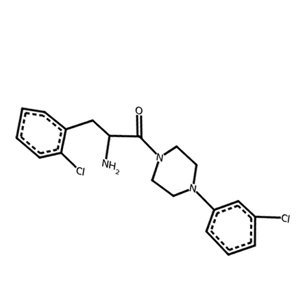 NC(Cc1ccccc1Cl)C(=O)N1CCN(c2cccc(Cl)c2)CC1